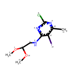 COC(CNc1nc(Cl)nc(C)c1I)OC